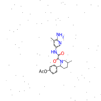 CC(=O)Oc1ccc(C2CCC(C)CN2C(=O)C(=O)Nc2cnc(N)c(C)c2)cc1